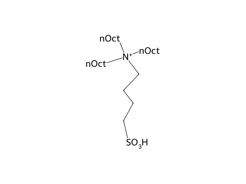 CCCCCCCC[N+](CCCCCCCC)(CCCCCCCC)CCCCS(=O)(=O)O